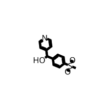 CS(=O)(=O)c1ccc(C(O)c2ccncc2)cc1